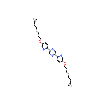 c1cc(-c2cnc(-c3ccc(OCCCCCCC4CC4)cn3)cn2)ncc1OCCCCCCC1CC1